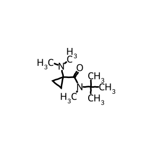 CN(C(=O)C1(N(C)C)CC1)C(C)(C)C